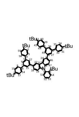 CC(C)(C)c1ccc(-c2cc(-c3ccc(C(C)(C)C)cc3)cc(-c3ccc4c(c3)c3cc(-c5cc(-c6ccc(C(C)(C)C)cc6)cc(-c6ccc(C(C)(C)C)cc6)c5)ccc3n4-c3ccccc3C(C)(C)C)c2)cc1